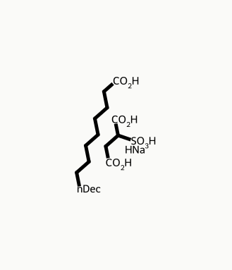 CCCCCCCCCCCCCCCCCC(=O)O.O=C(O)CC(C(=O)O)S(=O)(=O)O.[NaH]